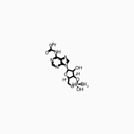 B[PH]1(O)OC[C@H]2O[C@@H](n3cnc4c(NC(=O)CCC)ncnc43)C(O)[C@H]2O1